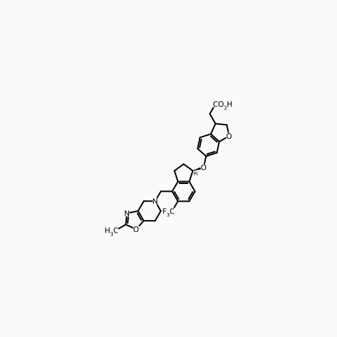 Cc1nc2c(o1)CCN(Cc1c(C(F)(F)F)ccc3c1CC[C@H]3Oc1ccc3c(c1)OCC3CC(=O)O)C2